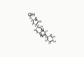 OCc1cc(-c2ccc3nc(-c4ccccc4)cn3c2)cs1